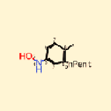 CCCCCc1cc(NO)ccc1C